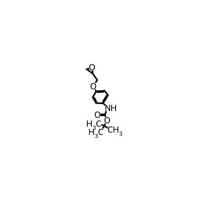 CC(C)(C)OC(=O)Nc1ccc(OCC2CO2)cc1